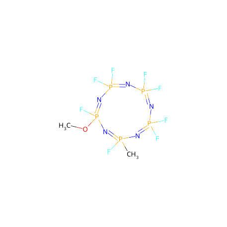 COP1(F)=NP(F)(F)=NP(F)(F)=NP(F)(F)=NP(C)(F)=N1